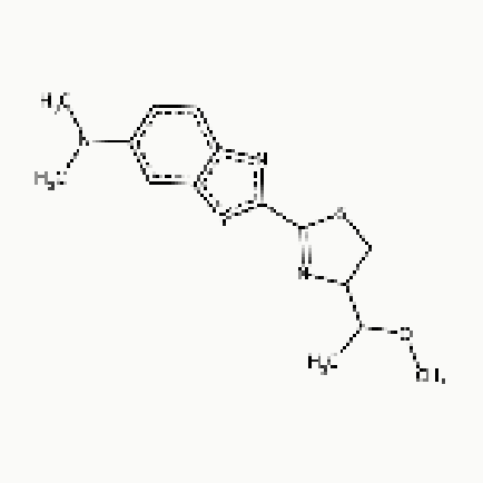 COC(C)C1CSC(c2nc3ccc(N(C)C)cc3s2)=N1